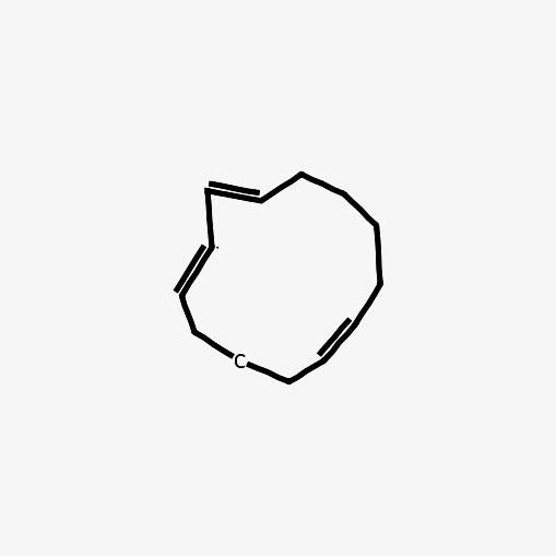 [C]1=C/CCC/C=C\CCCC/C=C/1